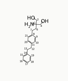 NC(CO)(CO)CCc1ccc(CCc2cc[c]cc2)cc1